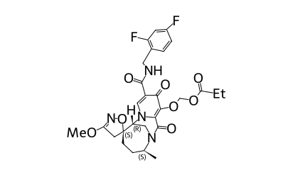 CCC(=O)OCOc1c2n(cc(C(=O)NCc3ccc(F)cc3F)c1=O)[C@@H]1CN(C2=O)[C@@H](C)CC[C@]12CC(OC)=NO2